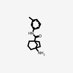 Cc1cccc(NC(=O)C23CCCC(N)(CC2)C3)c1